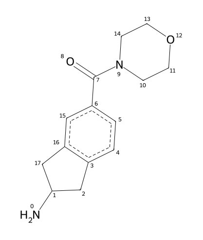 NC1Cc2ccc(C(=O)N3CCOCC3)cc2C1